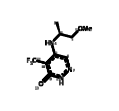 COC[C@H](C)Nc1cn[nH]c(=O)c1C(F)(F)F